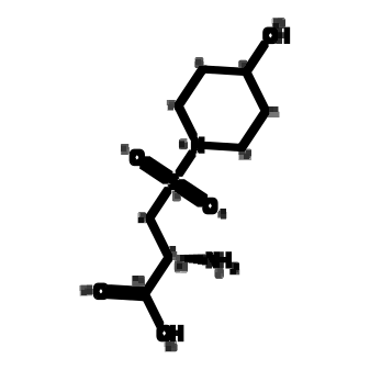 N[C@@H](CS(=O)(=O)N1CCC(O)CC1)C(=O)O